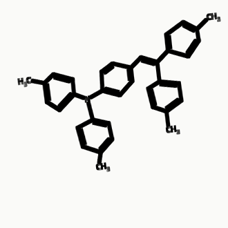 Cc1ccc(C(=Cc2ccc(N(c3ccc(C)cc3)c3ccc(C)cc3)cc2)c2ccc(C)cc2)cc1